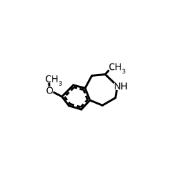 COc1ccc2c(c1)CC(C)NCC2